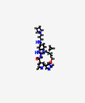 Cc1cc2cc(n1)-c1cnn(C)c1OCCC[C@@H](C1CC1)CN1/C(=N/C2=O)Nc2cc(NCCCN3CCCC3)ccc21